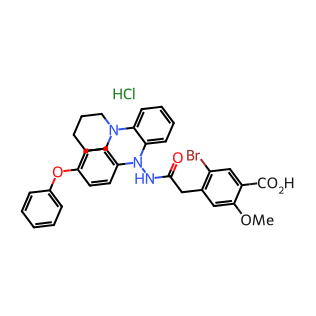 COc1cc(CC(=O)NN(c2ccc(Oc3ccccc3)cc2)c2ccccc2N2CCCCC2)c(Br)cc1C(=O)O.Cl